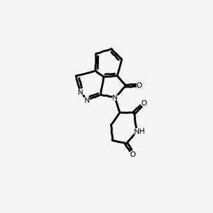 O=C1CCC(N2C(=O)c3cccc4cnnc2c34)C(=O)N1